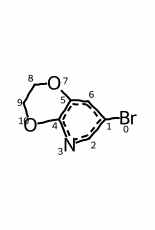 Brc1cnc2c(c1)OCCO2